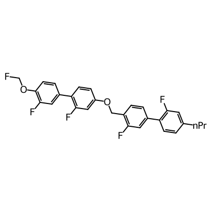 CCCc1ccc(-c2ccc(COc3ccc(-c4ccc(OCF)c(F)c4)c(F)c3)c(F)c2)c(F)c1